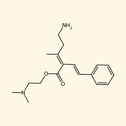 CC(CCN)=C(C=Cc1ccccc1)C(=O)OCCN(C)C